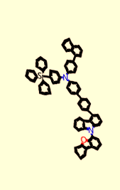 c1ccc([Si](c2ccccc2)(c2ccccc2)c2ccc(N(c3ccc(-c4ccc(-c5cccc6c5c5ccccc5n6-c5cccc6c5oc5ccccc56)cc4)cc3)c3ccc(-c4cccc5ccccc45)cc3)cc2)cc1